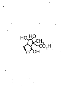 CC1(CC(=O)O)C(O)C(O)C2C=COC(O)C21